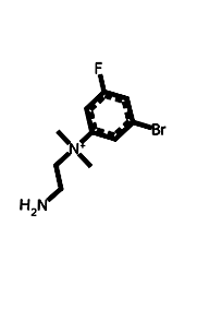 C[N+](C)(CCN)c1cc(F)cc(Br)c1